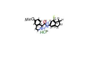 COc1ccc2c(c1)CCNC2C(=O)Nc1cc(F)c2c(c1)CCC2(C)C.Cl